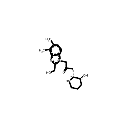 Cc1ccc2c(nc(CO)n2CC(=O)C[C@H]2NCCC[C@@H]2O)c1C